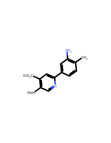 CCOC(=O)c1cc(-c2ccc(C)c(N)c2)ncc1NC